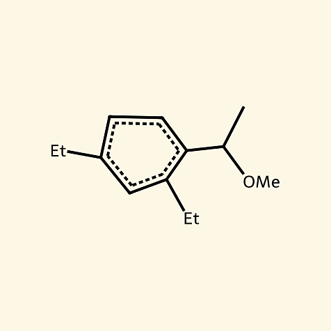 CCc1ccc(C(C)OC)c(CC)c1